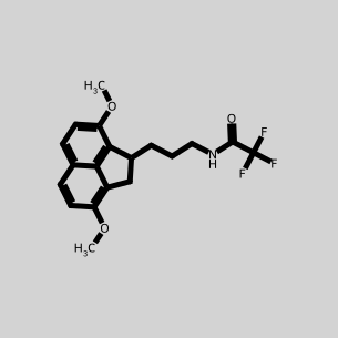 COc1ccc2ccc(OC)c3c2c1CC3CCCNC(=O)C(F)(F)F